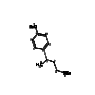 CSCCC(C)c1ccc(OCC(C)C)cc1